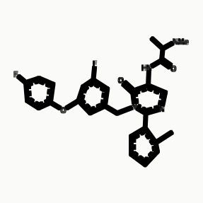 CNC(C)C(=O)Nc1cnc(-c2ccccc2C)n(Cc2cc(F)cc(Oc3ccc(F)cc3)c2)c1=O